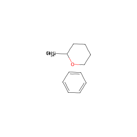 C.[SiH3]C1CCCCO1.c1ccccc1